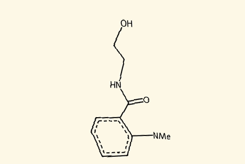 CNc1ccccc1C(=O)NCCO